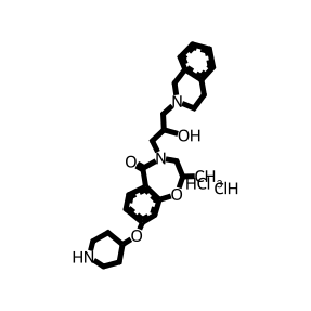 CC1CN(CC(O)CN2CCc3ccccc3C2)C(=O)c2ccc(OC3CCNCC3)cc2O1.Cl.Cl